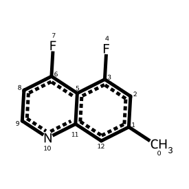 Cc1cc(F)c2c(F)ccnc2c1